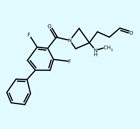 CNC1(CCC=O)CN(C(=O)c2c(F)cc(-c3ccccc3)cc2F)C1